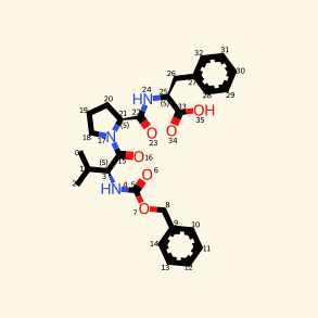 CC(C)[C@H](NC(=O)OCc1ccccc1)C(=O)N1CCC[C@H]1C(=O)N[C@@H](Cc1ccccc1)C(=O)O